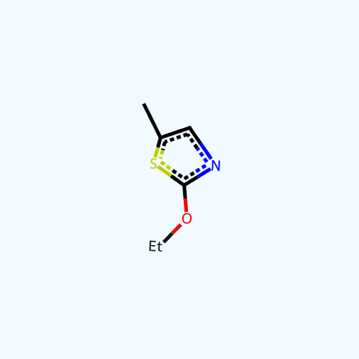 CCOc1ncc(C)s1